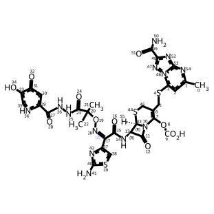 Cc1cc(SCC2=C(OC(=O)O)N3C(=O)[C@@H](NC(=O)/C(=N\OC(C)(C)C(=O)NNC(=O)c4cc(=O)c(O)c[nH]4)c4csc(N)n4)[C@H]3SC2)n2nc(C(N)=O)nc2n1